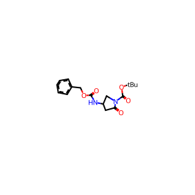 CC(C)(C)OC(=O)N1CC(NC(=O)OCc2ccccc2)CC1=O